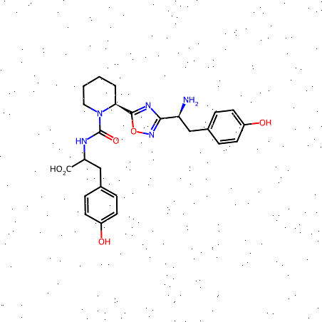 N[C@@H](Cc1ccc(O)cc1)c1noc([C@@H]2CCCCN2C(=O)NC(Cc2ccc(O)cc2)C(=O)O)n1